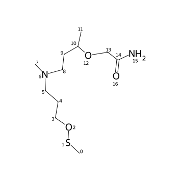 CSOCCCN(C)CCC(C)OCC(N)=O